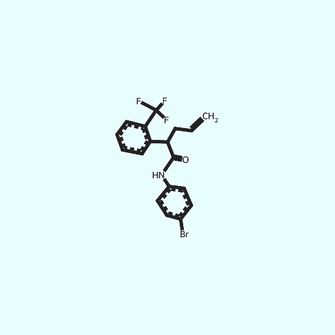 C=CCC(C(=O)Nc1ccc(Br)cc1)c1ccccc1C(F)(F)F